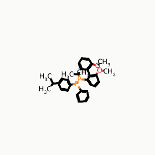 COc1ccc[c]c1-c1c(OC)cccc1P(C(C)C)P(c1ccccc1)c1ccc(C(C)C)cc1